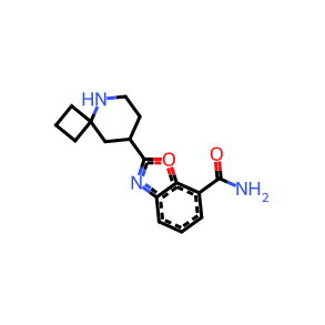 NC(=O)c1cccc2nc(C3CCNC4(CCC4)C3)oc12